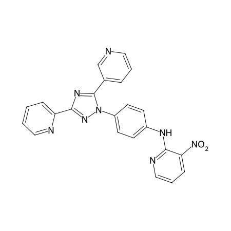 O=[N+]([O-])c1cccnc1Nc1ccc(-n2nc(-c3ccccn3)nc2-c2cccnc2)cc1